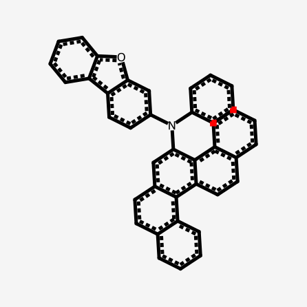 c1ccc(N(c2ccc3c(c2)oc2ccccc23)c2cc3ccc4ccccc4c3c3ccc4ccccc4c23)cc1